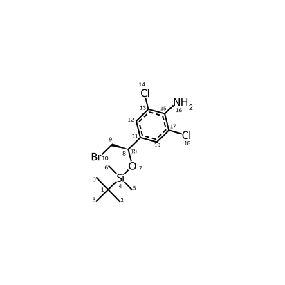 CC(C)(C)[Si](C)(C)O[C@@H](CBr)c1cc(Cl)c(N)c(Cl)c1